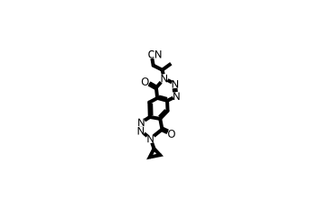 CC(CC#N)n1nnc2cc3c(=O)n(C4CC4)nnc3cc2c1=O